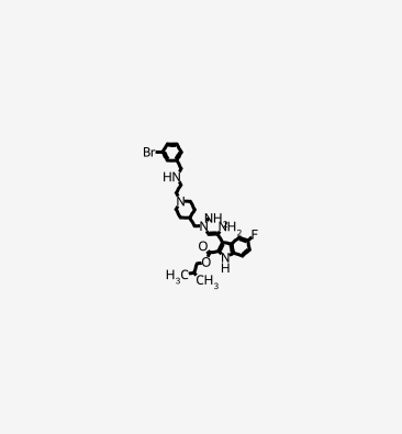 CC(C)COC(=O)c1[nH]c2ccc(F)cc2c1/C(N)=C/N(N)CC1CCN(CCNCc2cccc(Br)c2)CC1